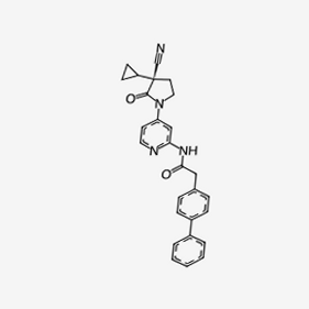 N#C[C@@]1(C2CC2)CCN(c2ccnc(NC(=O)Cc3ccc(-c4ccccc4)cc3)c2)C1=O